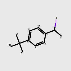 CC(I)c1ccc(C(C)(C)C)cc1